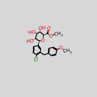 COC(=O)[C@H]1O[C@@H](c2ccc(Cl)c(Cc3ccc(OC)cc3)c2)[C@H](O)[C@@H](O)[C@@H]1O